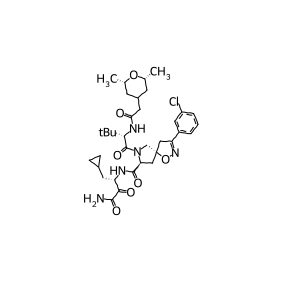 C[C@@H]1CC(CC(=O)N[C@H](C(=O)N2C[C@@]3(CC(c4cccc(Cl)c4)=NO3)C[C@H]2C(=O)N[C@@H](CC2CC2)C(=O)C(N)=O)C(C)(C)C)C[C@H](C)O1